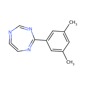 Cc1cc(C)cc(C2=NC=C=NC=N2)c1